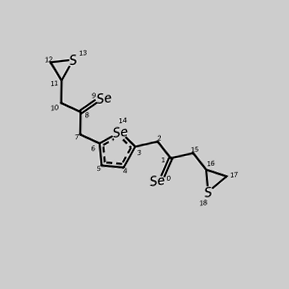 [Se]=C(Cc1ccc(CC(=[Se])CC2CS2)[se]1)CC1CS1